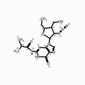 CCC1OC(n2cnc3c(=O)[nH]c(NC(=O)C(C)C)nc32)C(N=[N+]=[N-])C1CO